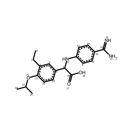 CCc1cc(C(Nc2ccc(C(=N)N)cc2)C(=O)O)ccc1OC(C)C